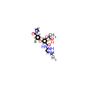 CCN/C=C\C(=N)NC(=O)c1cc(Oc2ccc(C(=O)N3CCC3)cc2F)cc(O[C@@H](C)CO)c1